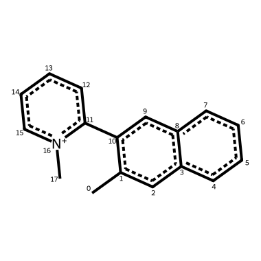 Cc1cc2ccccc2cc1-c1cccc[n+]1C